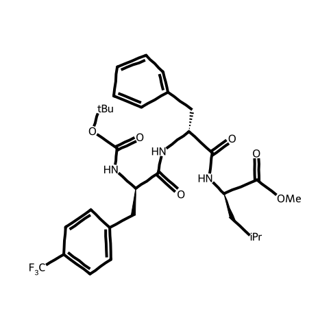 COC(=O)[C@@H](CC(C)C)NC(=O)[C@@H](Cc1ccccc1)NC(=O)[C@@H](Cc1ccc(C(F)(F)F)cc1)NC(=O)OC(C)(C)C